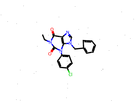 CCn1c(=O)c2ncn(Cc3ccccc3)c2n(-c2ccc(Cl)cc2)c1=O